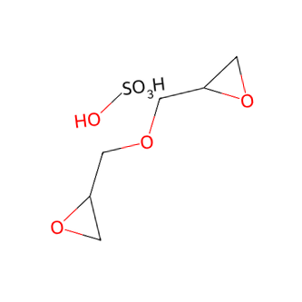 C(OCC1CO1)C1CO1.O=S(=O)(O)O